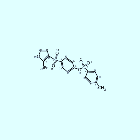 Cc1ccc(S(=O)(=O)Oc2ccc(S(=O)(=O)C3=C(C(C)C)OCC3)cc2)cc1